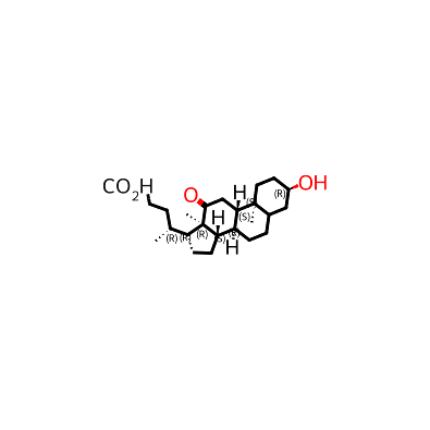 C[C@H](CCC(=O)O)[C@H]1CC[C@H]2[C@@H]3CCC4C[C@H](O)CC[C@]4(C)[C@H]3CC(=O)[C@]12C